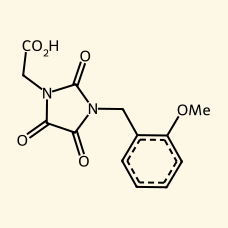 COc1ccccc1CN1C(=O)C(=O)N(CC(=O)O)C1=O